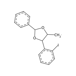 [CH2]C1OC(c2ccccc2)OC1c1ccccc1I